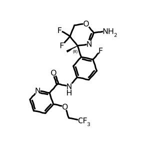 C[C@]1(c2cc(NC(=O)c3ncccc3OCC(F)(F)F)ccc2F)N=C(N)OCC1(F)F